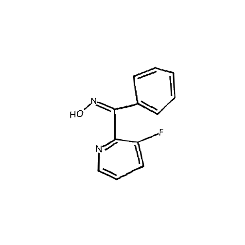 O/N=C(/c1ccccc1)c1ncccc1F